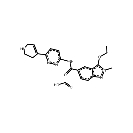 CCOc1c2cc(C(=O)Nc3ccc(C4=CCNCC4)nn3)ccc2nn1C.O=CO